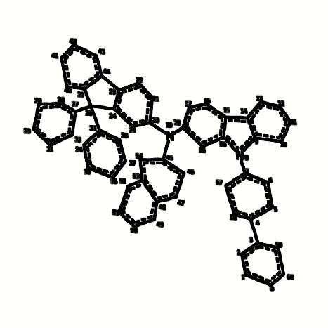 c1ccc(-c2ccc(-n3c4ccccc4c4ccc(N(c5ccc6c(c5)C(c5ccccc5)(c5ccccc5)c5ccccc5-6)c5ccc6ccccc6c5)cc43)cc2)cc1